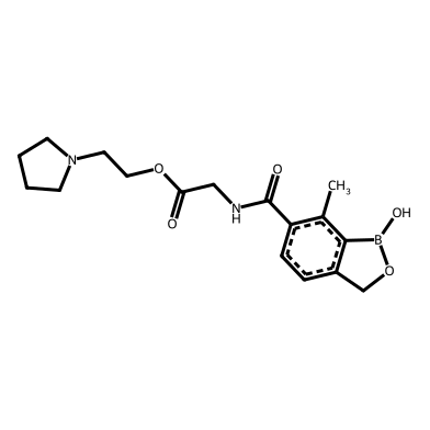 Cc1c(C(=O)NCC(=O)OCCN2CCCC2)ccc2c1B(O)OC2